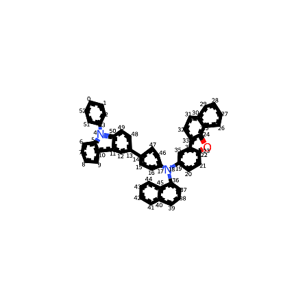 c1ccc(-n2c3ccccc3c3cc(-c4ccc(N(c5ccc6oc7c8ccccc8ccc7c6c5)c5cccc6ccccc56)cc4)ccc32)cc1